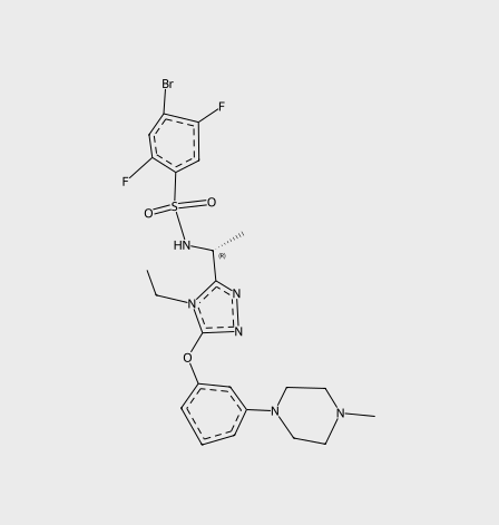 CCn1c(Oc2cccc(N3CCN(C)CC3)c2)nnc1[C@@H](C)NS(=O)(=O)c1cc(F)c(Br)cc1F